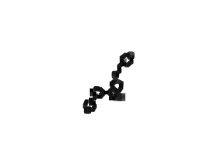 c1cc(-c2n[nH]c3ccc(OCCN4CCOCC4)cc23)cc(N2CCOCC2)n1